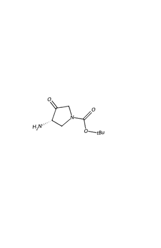 CC(C)(C)OC(=O)N1CC(=O)[C@@H](N)C1